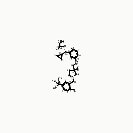 Cc1ccc(C(F)(F)F)cc1CN1CCC(F)(COc2cccc([C@@H](CC(=O)O)C3CC3)c2)C1